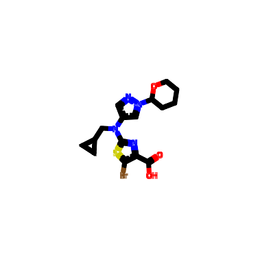 O=C(O)c1nc(N(CC2CC2)c2cnn(C3CCCCO3)c2)sc1Br